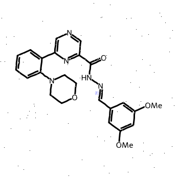 COc1cc(/C=N/NC(=O)c2cncc(-c3ccccc3N3CCOCC3)n2)cc(OC)c1